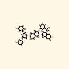 CC1(C)c2ccccc2-c2c(-c3ccc4cc(-c5nc(-c6ccccc6)nc(-c6ccccc6)n5)ccc4c3)nc3ccccc3c21